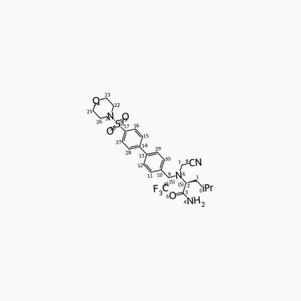 CC(C)C[C@@H](C(N)=O)N(CC#N)[C@@H](c1ccc(-c2ccc(S(=O)(=O)N3CCOCC3)cc2)cc1)C(F)(F)F